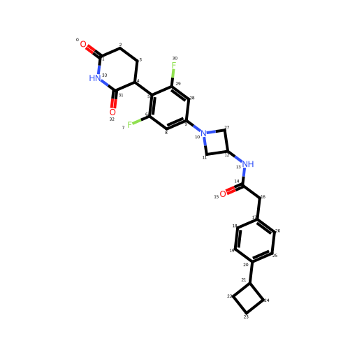 O=C1CCC(c2c(F)cc(N3CC(NC(=O)Cc4ccc(C5CCC5)cc4)C3)cc2F)C(=O)N1